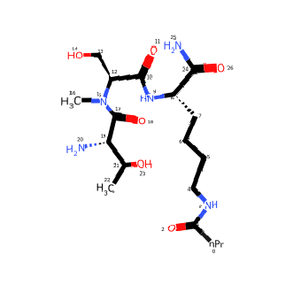 CCCC(=O)NCCCC[C@H](NC(=O)[C@H](CO)N(C)C(=O)[C@@H](N)C(C)O)C(N)=O